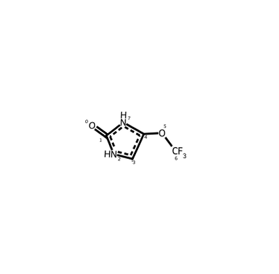 O=c1[nH][c]c(OC(F)(F)F)[nH]1